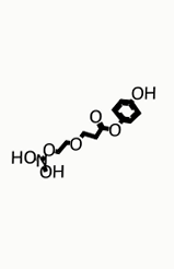 O=C(CCOCCON(O)O)Oc1ccc(O)cc1